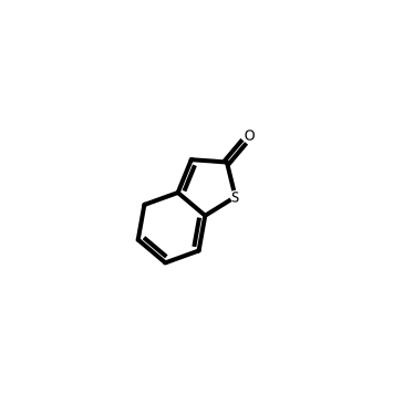 O=C1C=C2CC=CC=C2S1